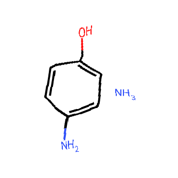 N.Nc1ccc(O)cc1